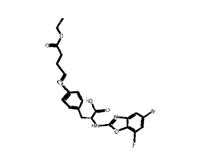 CCOC(=O)CCCOc1ccc(C[C@H](Nc2nc3cc(Br)cc(F)c3o2)C(=O)O)cc1